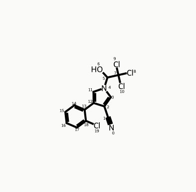 N#Cc1cn(C(O)C(Cl)(Cl)Cl)cc1-c1ccccc1Cl